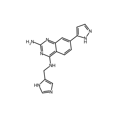 Nc1nc(NCc2cnc[nH]2)c2ccc(-c3ccn[nH]3)cc2n1